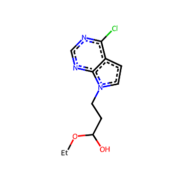 CCOC(O)CCn1ccc2c(Cl)ncnc21